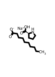 CCCCCCCCCC(=O)[O-].O=C(O)[C@@H]1CCCN1.[Na+]